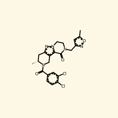 Cc1cc(CN2CCn3nc4c(c3C2=O)CN(C(=O)c2ccc(Cl)c(Cl)c2)[C@H](C)C4)no1